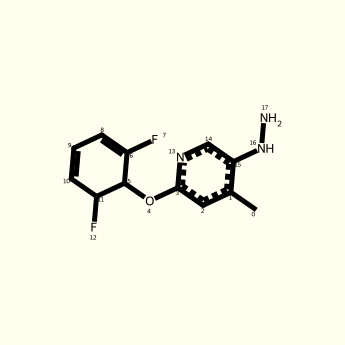 Cc1cc(OC2C(F)=CC=CC2F)ncc1NN